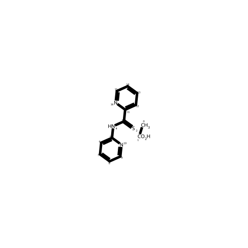 CC(=O)O.S=C(Nc1ccccn1)c1ccccn1